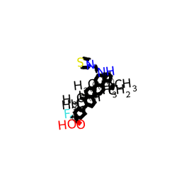 C=C(C)[C@@H]1CC[C@]2(NCCN3CCSCC3)CC[C@]3(C)[C@H](CC[C@@H]4[C@@]5(C)CC=C(C6=CC[C@@](CF)(C(=O)O)CC6)C(C)(C)[C@@H]5CC[C@]43C)[C@@H]12